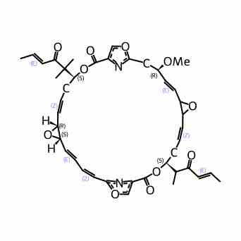 C/C=C/C(=O)C(C)[C@@H]1C/C=C\C2OC2/C=C/[C@H](OC)Cc2nc(co2)C(=O)O[C@H](C(C)(C)C(=O)/C=C/C)C/C=C\[C@H]2O[C@H]2/C=C/C=C\c2nc(co2)C(=O)O1